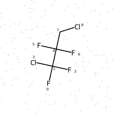 FC(F)(Cl)C(F)(F)CCl